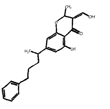 CC1Oc2cc(C(C)CCCc3ccccc3)cc(O)c2C(=O)C1=CO